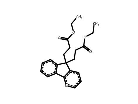 CCOC(=O)CCC1(CCC(=O)OCC)c2ccccc2-c2ncccc21